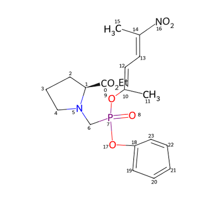 CCOC(=O)[C@@H]1CCCN1CP(=O)(O/C(C)=C/C=C(\C)[N+](=O)[O-])Oc1ccccc1